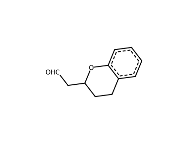 O=CCC1CCc2ccccc2O1